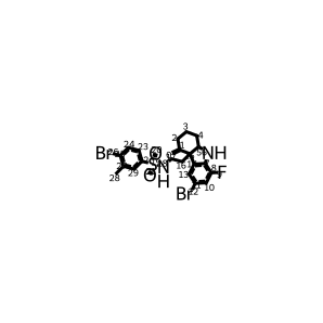 C=C1CCCC2Nc3c(F)cc(Br)cc3C12CCNS(=O)(=O)c1ccc(Br)c(C)c1